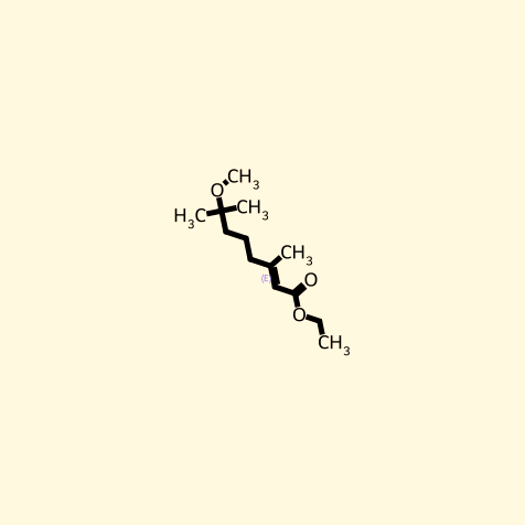 CCOC(=O)/C=C(\C)CCCC(C)(C)OC